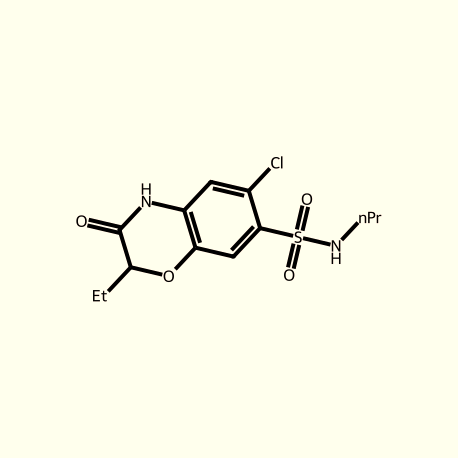 CCCNS(=O)(=O)c1cc2c(cc1Cl)NC(=O)C(CC)O2